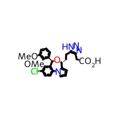 COc1cccc([C@H]2O[C@H](CCc3[nH]nnc3CC(=O)O)c3cccn3-c3ccc(Cl)cc32)c1OC